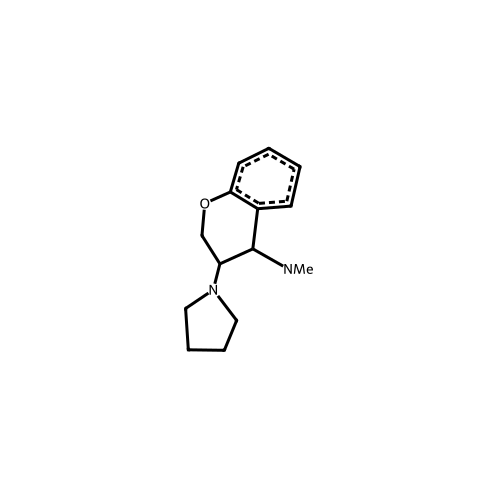 CNC1c2ccccc2OCC1N1CCCC1